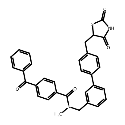 CN(Cc1cccc(-c2ccc(CC3SC(=O)NC3=O)cc2)c1)C(=O)c1ccc(C(=O)c2ccccc2)cc1